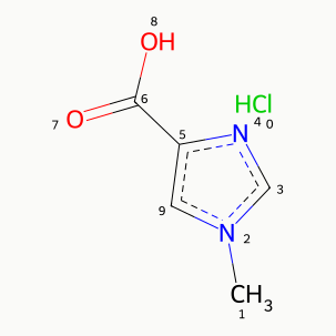 Cl.Cn1cnc(C(=O)O)c1